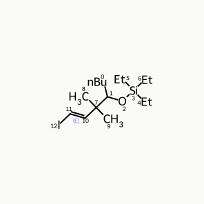 CCCCC(O[Si](CC)(CC)CC)C(C)(C)/C=C/I